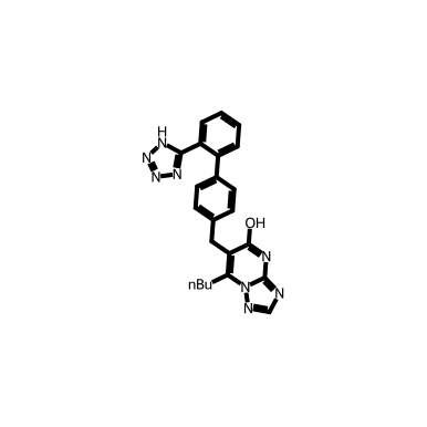 CCCCc1c(Cc2ccc(-c3ccccc3-c3nnn[nH]3)cc2)c(O)nc2ncnn12